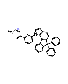 C=N/C=C\C(=C)c1cccc(-n2ccc3ccc4c(c32)-c2ccccc2C4(c2ccccc2)c2ccccc2)n1